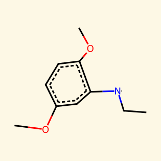 CC[N]c1cc(OC)ccc1OC